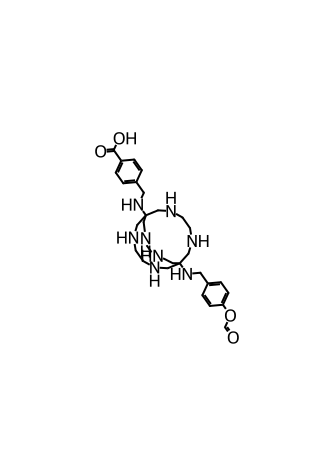 O=COc1ccc(CNC23CNCCNCC(NCc4ccc(C(=O)O)cc4)(CNCCNC2)CNCCNC3)cc1